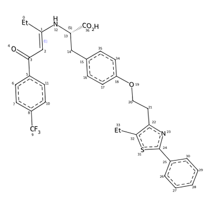 CC/C(=C\C(=O)c1ccc(C(F)(F)F)cc1)N[C@@H](Cc1ccc(OCCc2nc(-c3ccccc3)sc2CC)cc1)C(=O)O